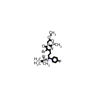 CCOC(=O)Cn1c(SC)nc(CC/C(=N\[S@+]([O-])C(C)(C)C)c2ccc(F)cc2)c(Br)c1=O